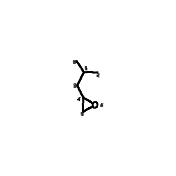 [CH2]C(C)CC1CO1